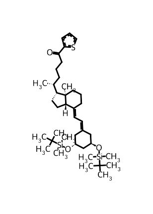 C[C@H](CCCC(=O)c1cccs1)[C@H]1CC[C@H]2/C(=C/C=C3C[C@@H](O[Si](C)(C)C(C)(C)C)C[C@H](O[Si](C)(C)C(C)(C)C)C3)CCC[C@]12C